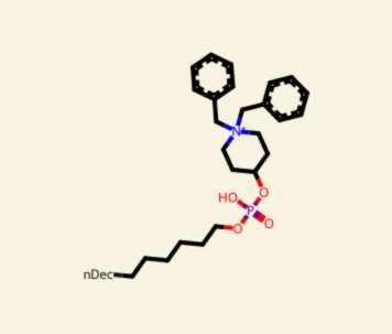 CCCCCCCCCCCCCCCCOP(=O)(O)OC1CC[N+](Cc2ccccc2)(Cc2ccccc2)CC1